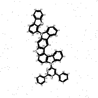 c1ccc(-c2cc(-n3c4ccccc4c4c5c(ccc43)sc3cc4c(cc35)c3ccccc3n4-c3cccc4c3oc3ccccc34)nc(-c3ccccc3)n2)cc1